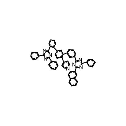 c1ccc(-c2nc(-c3cccc(-c4cc(-c5ccccc5-c5nc(-c6ccccc6)nc(-c6ccccc6)n5)ccc4-c4ccncc4)c3)nc(-c3ccc4ccccc4c3)n2)cc1